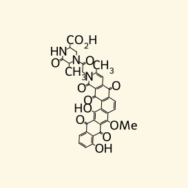 COc1c2ccc3c(=O)c4cc(C)n(CC(=O)N5CC(C(=O)O)NC(=O)C5C)c(=O)c4c(=O)c3c2c(O)c2c(=O)c3cccc(O)c3c(=O)c12